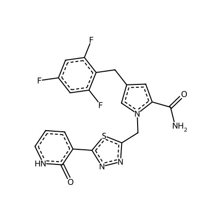 NC(=O)c1cc(Cc2c(F)cc(F)cc2F)cn1Cc1nnc(-c2ccc[nH]c2=O)s1